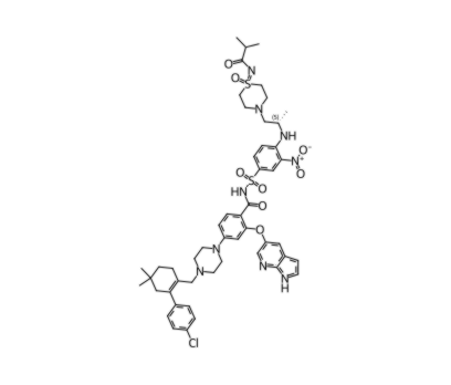 CC(C)C(=O)N=S1(=O)CCN(C[C@H](C)Nc2ccc(S(=O)(=O)NC(=O)c3ccc(N4CCN(CC5=C(c6ccc(Cl)cc6)CC(C)(C)CC5)CC4)cc3Oc3cnc4[nH]ccc4c3)cc2[N+](=O)[O-])CC1